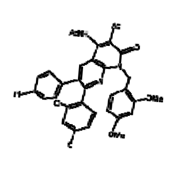 COc1ccc(Cn2c(=O)c(C(C)=O)c(NC(C)=O)c3cc(-c4ccc(Cl)cc4)c(-c4ccc(Cl)cc4Cl)nc32)c(OC)c1